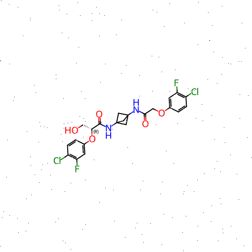 O=C(COc1ccc(Cl)c(F)c1)NC12CC(NC(=O)[C@@H](CO)Oc3ccc(Cl)c(F)c3)(C1)C2